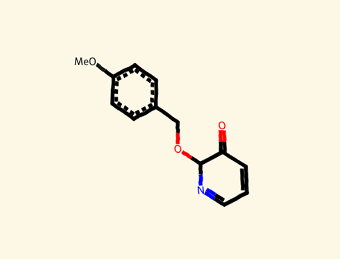 COc1ccc(COC2N=CC=CC2=O)cc1